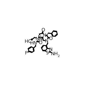 C#CCN(C(=O)NCc1ccc(F)cc1)N1CC(=O)N2[C@@H](Cc3ccccc3)C(=O)N(Cc3cccc4sc(N)nc34)C[C@@H]21